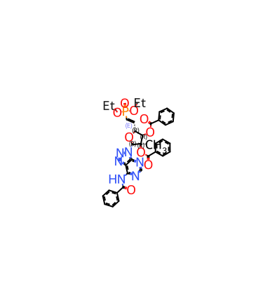 CCOP(=O)(/C=C/[C@H]1O[C@@H](n2nnc3c(NC(=O)c4ccccc4)ncnc32)[C@](C)(OC(=O)c2ccccc2)[C@@H]1OC(=O)c1ccccc1)OCC